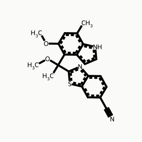 COc1cc(C)c2[nH]ccc2c1C(C)(OC)c1nc2ccc(C#N)cc2s1